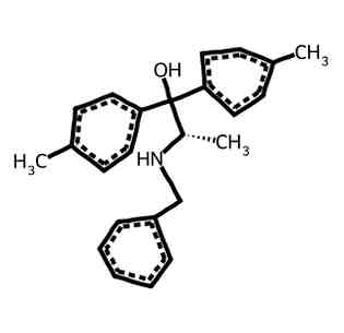 Cc1ccc(C(O)(c2ccc(C)cc2)[C@H](C)NCc2ccccc2)cc1